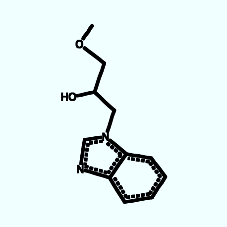 COCC(O)Cn1cnc2ccccc21